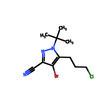 CC(C)(C)n1nc(C#N)c(Br)c1CCCCl